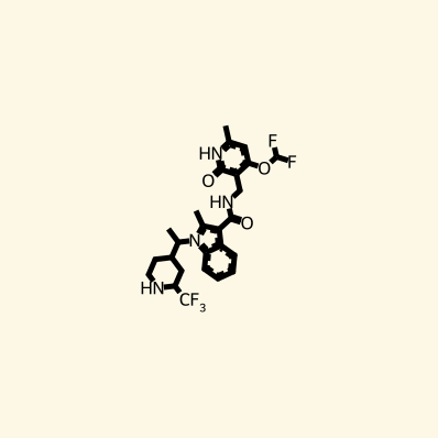 Cc1cc(OC(F)F)c(CNC(=O)c2c(C)n(C(C)C3CCNC(C(F)(F)F)C3)c3ccccc23)c(=O)[nH]1